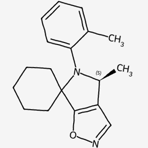 Cc1ccccc1N1[C@@H](C)c2cnoc2C12CCCCC2